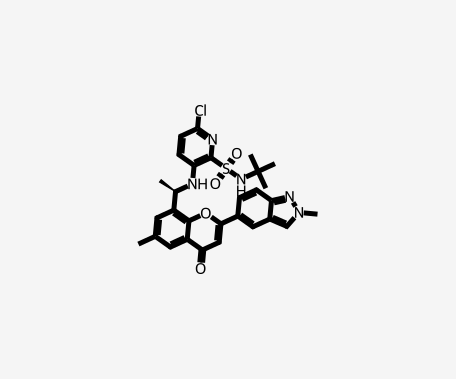 Cc1cc([C@@H](C)Nc2ccc(Cl)nc2S(=O)(=O)NC(C)(C)C)c2oc(-c3ccc4nn(C)cc4c3)cc(=O)c2c1